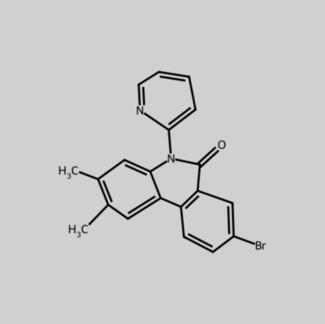 Cc1cc2c3ccc(Br)cc3c(=O)n(-c3ccccn3)c2cc1C